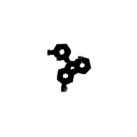 Brc1ccc2c(c1)c1cccnc1n2-c1cccc(I)n1